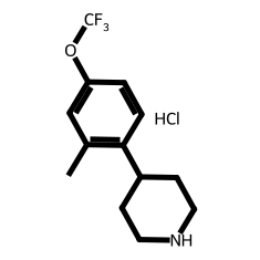 Cc1cc(OC(F)(F)F)ccc1C1CCNCC1.Cl